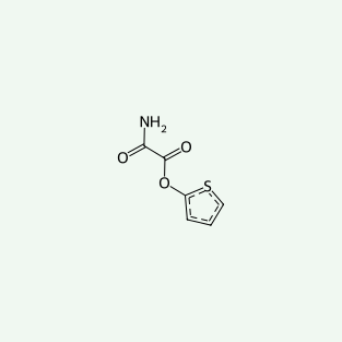 NC(=O)C(=O)Oc1cccs1